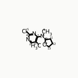 Cc1cnc(Cl)nc1N(C)[C@@H]1CCCO1